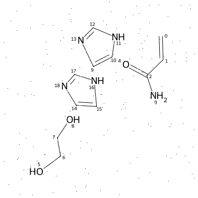 C=CC(N)=O.OCCO.c1c[nH]cn1.c1c[nH]cn1